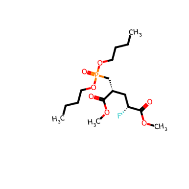 CCCCOP(=O)(C[C@H](C[C@@H](F)C(=O)OC)C(=O)OC)OCCCC